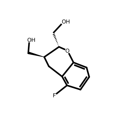 OC[C@@H]1Cc2c(F)cccc2O[C@H]1CO